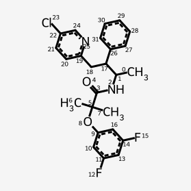 CC(NC(=O)C(C)(C)Oc1cc(F)cc(F)c1)C(Cc1ccc(Cl)cn1)c1ccccc1